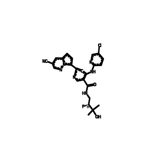 CC(C)(O)[C@H](F)CNC(=O)c1cnc(-c2ccc3cc(C#N)cnn23)cc1Nc1ccc(Cl)cn1